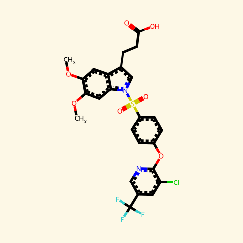 COc1cc2c(CCC(=O)O)cn(S(=O)(=O)c3ccc(Oc4ncc(C(F)(F)F)cc4Cl)cc3)c2cc1OC